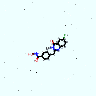 CCn1c(Cc2ccc(C(=O)NO)cc2)nc2ccc(F)cc2c1=O